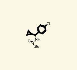 CC(C)(C)[S@@+]([O-])N[C@@H](c1ccc(Cl)cc1)C1CC1